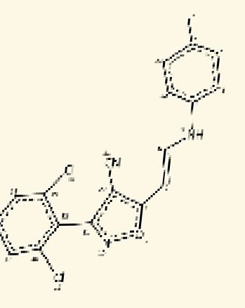 Cc1ccc(N/C=C/c2onc(-c3c(Cl)cccc3Cl)c2C#N)cc1